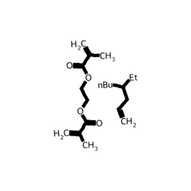 C=C(C)C(=O)OCCOC(=O)C(=C)C.C=CCC(CC)CCCC